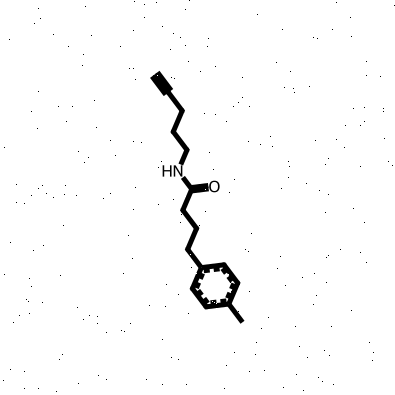 C#CCCCNC(=O)CCCc1ccc(C)cc1